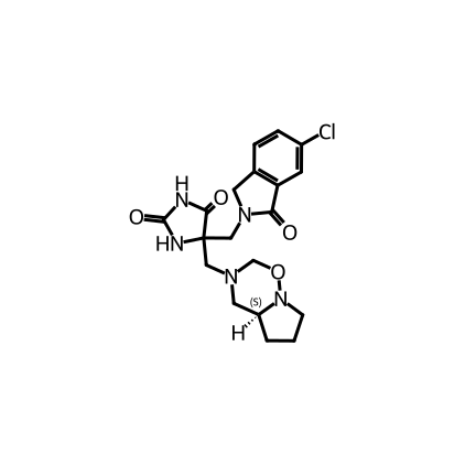 O=C1NC(=O)C(CN2CON3CCC[C@H]3C2)(CN2Cc3ccc(Cl)cc3C2=O)N1